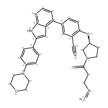 C=NCCC(=O)N1CC[C@H](Oc2ccc(-c3ccnc4[nH]c(-c5ccc(N6CCOCC6)cc5)cc34)cc2C#N)C1